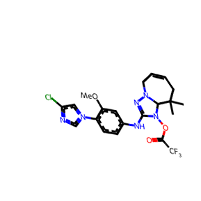 COc1cc(NC2=NN3CC=CCC(C)(C)C3N2OC(=O)C(F)(F)F)ccc1-n1cnc(Cl)c1